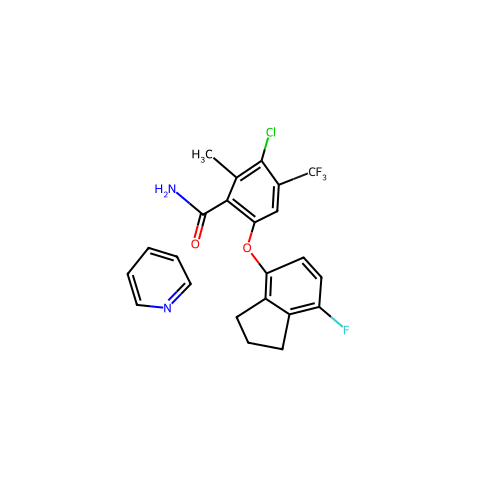 Cc1c(Cl)c(C(F)(F)F)cc(Oc2ccc(F)c3c2CCC3)c1C(N)=O.c1ccncc1